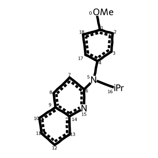 COc1ccc(N(c2ccc3ccccc3n2)C(C)C)cc1